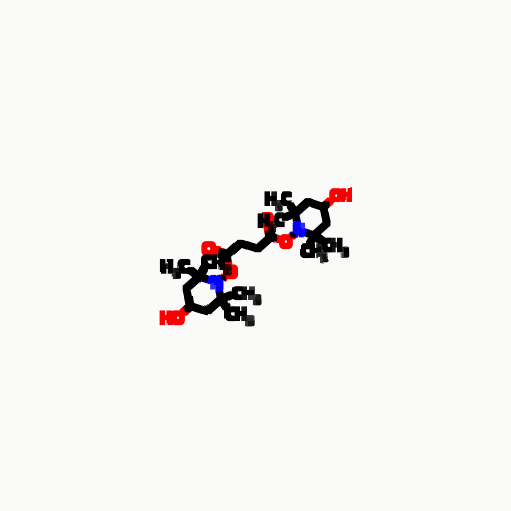 CC1(C)CC(O)CC(C)(C)N1OC(=O)CCC(=O)ON1C(C)(C)CC(O)CC1(C)C